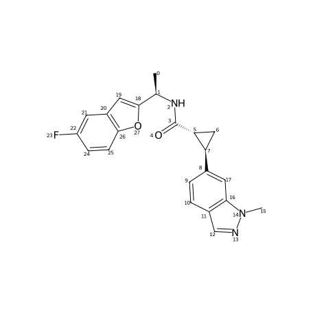 C[C@@H](NC(=O)[C@@H]1C[C@H]1c1ccc2cnn(C)c2c1)c1cc2cc(F)ccc2o1